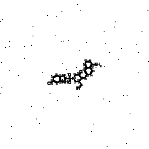 CC(C)C[C@H]1CN(S(=O)(=O)c2nc3ccc(Cl)cc3[nH]2)CC(=O)N1Cc1ccc2c(N)ncnc2c1